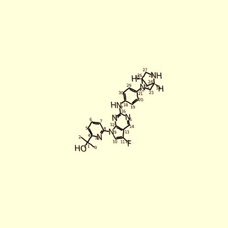 CC(C)(O)c1cccc(-n2cc(F)c3cnc(Nc4ccc(N5C[C@@H]6C[C@H]5CN6)cc4)nc32)n1